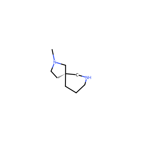 CN1CC[C@]2(CCCNC2)C1